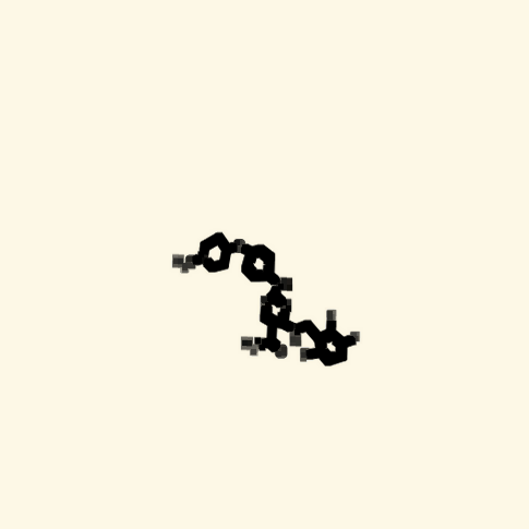 CN1CCC(Oc2ccc(Nc3ncc(C(N)=O)c(NCc4c(F)ccc(F)c4F)n3)cc2)CC1